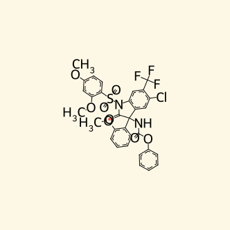 COc1ccc(S(=O)(=O)N2C(=O)C(NC(=O)Oc3ccccc3)(c3ccccc3OC)c3cc(Cl)c(C(F)(F)F)cc32)c(OC)c1